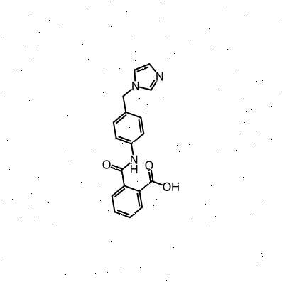 O=C(O)c1ccccc1C(=O)Nc1ccc(Cn2ccnc2)cc1